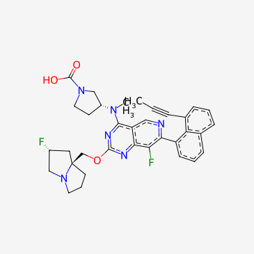 CC#Cc1cccc2cccc(-c3ncc4c(N(C)[C@@H]5CCN(C(=O)O)C5)nc(OC[C@@]56CCCN5C[C@H](F)C6)nc4c3F)c12